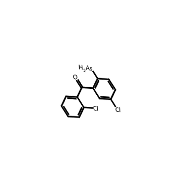 O=C(c1ccccc1Cl)c1cc(Cl)ccc1[AsH2]